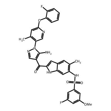 COc1cc(F)cc(S(=O)(=O)Nc2cc3[nH]c(C(=O)c4cnn(-c5cnc(Oc6ccccc6F)cc5C)c4N)cc3cc2C)c1